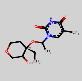 CC[C@]1(OC(C)n2cc(C)c(=O)[nH]c2=O)CCOCC1O